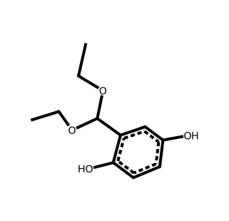 CCOC(OCC)c1cc(O)ccc1O